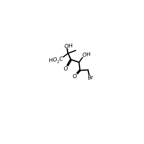 CC(O)(C(=O)O)C(=O)C(O)C(=O)CBr